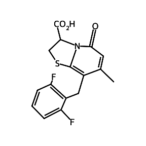 Cc1cc(=O)n2c(c1Cc1c(F)cccc1F)SCC2C(=O)O